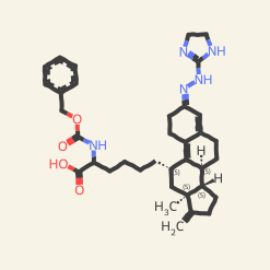 C=C1CC[C@H]2[C@@H]3CCC4=CC(=NNC5=NCCN5)CCC4=C3[C@@H](CCCCC(NC(=O)OCc3ccccc3)C(=O)O)C[C@]12C